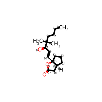 CCCCC(C)(C)C(=O)C=C[C@@]12CCC[C@H]1CC(=O)O2